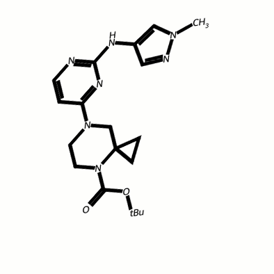 Cn1cc(Nc2nccc(N3CCN(C(=O)OC(C)(C)C)C4(CC4)C3)n2)cn1